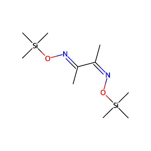 CC(=NO[Si](C)(C)C)C(C)=NO[Si](C)(C)C